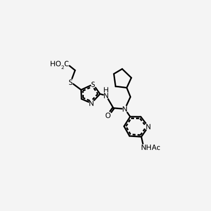 CC(=O)Nc1ccc(N(CC2CCCC2)C(=O)Nc2ncc(SCC(=O)O)s2)cn1